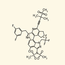 CC(C)(C#Cc1nc([C@@H](N)Cc2cc(F)cc(F)c2)c(-c2ccc(Cl)c3c(N(S(C)(=O)=O)S(C)(=O)=O)nn(CC(F)(F)F)c23)c2c1C[C@H](F)C2)S(C)(=O)=O